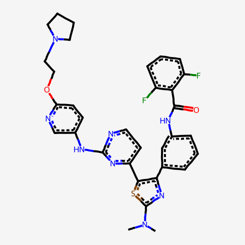 CN(C)c1nc(-c2cccc(NC(=O)c3c(F)cccc3F)c2)c(-c2ccnc(Nc3ccc(OCCN4CCCC4)nc3)n2)s1